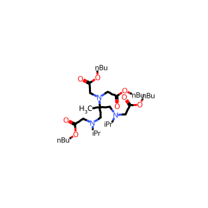 CCCCOC(=O)CN(CC(C)(CN(CC(=O)OCCCC)C(C)C)N(CC(=O)OCCCC)CC(=O)OCCCC)C(C)C